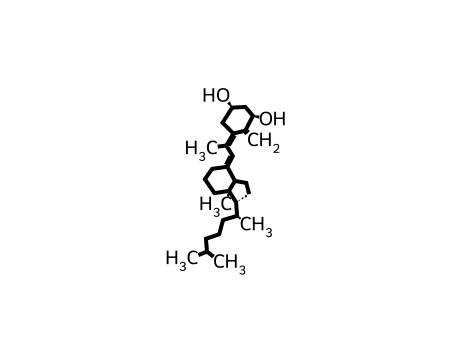 C=C1/C(=C(/C)C=C2CCC[C@@]3(C)C2CC[C@@H]3[C@H](C)CCCC(C)C)C[C@@H](O)C[C@H]1O